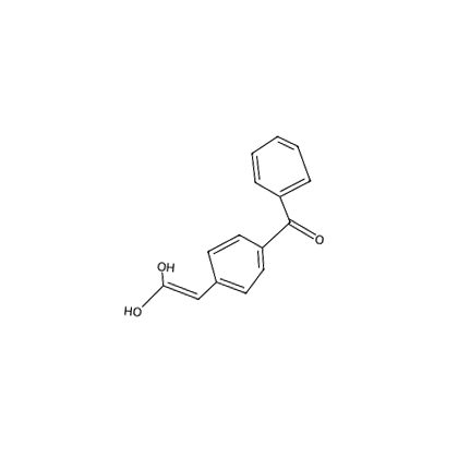 O=C(c1ccccc1)c1ccc(C=C(O)O)cc1